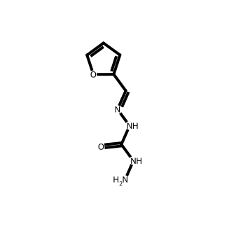 NNC(=O)NN=Cc1ccco1